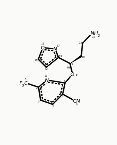 N#Cc1ccc(C(F)(F)F)nc1O[C@H](CCN)c1ccon1